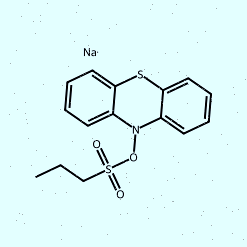 CCCS(=O)(=O)ON1c2ccccc2Sc2ccccc21.[Na]